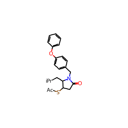 CC(=O)SC1CC(=O)N(Cc2ccc(Oc3ccccc3)cc2)C1CC(C)C